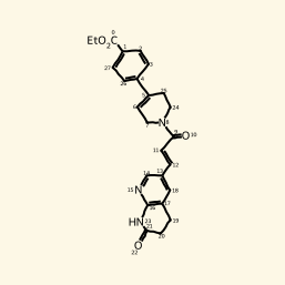 CCOC(=O)c1ccc(C2=CCN(C(=O)/C=C/c3cnc4c(c3)CCC(=O)N4)CC2)cc1